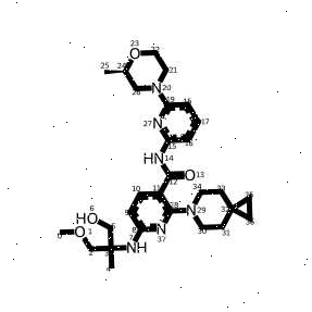 COCC(C)(CO)Nc1ccc(C(=O)Nc2cccc(N3CCO[C@H](C)C3)n2)c(N2CCC3(CC2)CC3)n1